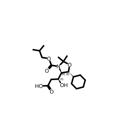 CC(C)COC(=O)N1[C@H]([C@@H](O)CC(=O)O)[C@@H](C2CCCCC2)OC1(C)C